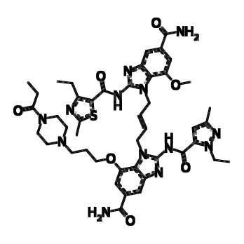 CCC(=O)N1CCN(CCCOc2cc(C(N)=O)cc3nc(NC(=O)c4cc(C)nn4CC)n(C/C=C/Cn4c(NC(=O)c5sc(C)nc5CC)nc5cc(C(N)=O)cc(OC)c54)c23)CC1